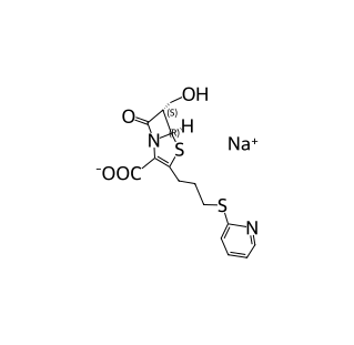 O=C([O-])C1=C(CCCSc2ccccn2)S[C@@H]2[C@@H](CO)C(=O)N12.[Na+]